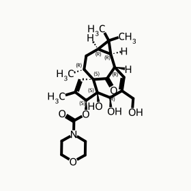 CC1=C[C@]23C(=O)[C@@H](C=C(CO)[C@@H](O)[C@]2(O)[C@H]1OC(=O)N1CCOCC1)[C@H]1[C@@H](C[C@H]3C)C1(C)C